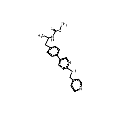 COC(=O)NC(C)Cc1ccc(-c2cnc(NCc3ccncc3)nc2)cc1